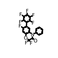 O=C1N(c2ccccc2)c2cc(-c3c(F)c(F)c(F)c(F)c3F)c(F)cc2OC1(F)F